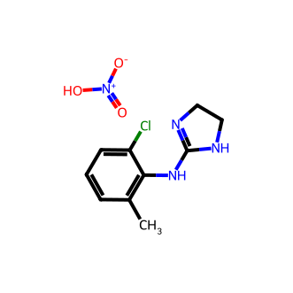 Cc1cccc(Cl)c1NC1=NCCN1.O=[N+]([O-])O